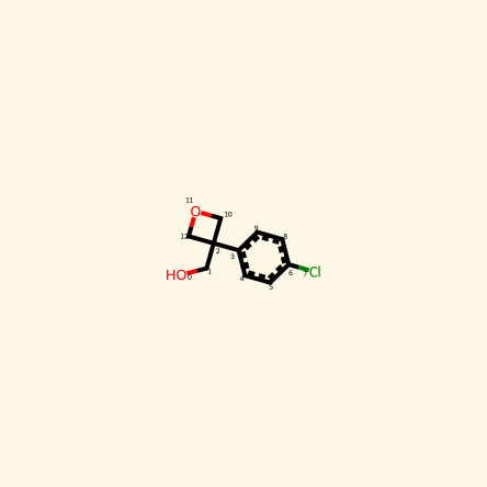 OCC1(c2ccc(Cl)cc2)COC1